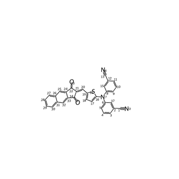 N#Cc1cccc(N(c2cccc(C#N)c2)c2ccc(C=C3C(=O)c4cc5ccccc5cc4C3=O)s2)c1